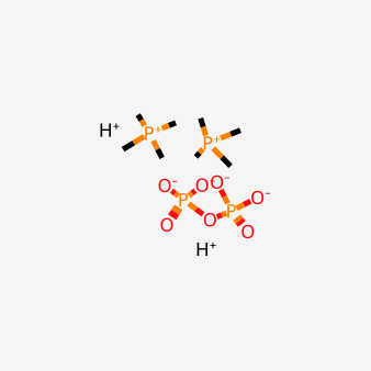 C[P+](C)(C)C.C[P+](C)(C)C.O=P([O-])([O-])OP(=O)([O-])[O-].[H+].[H+]